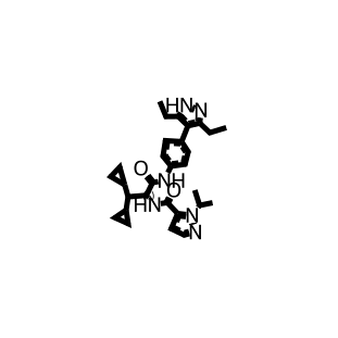 CCc1n[nH]c(CC)c1-c1ccc(NC(=O)[C@@H](NC(=O)c2ccnn2C(C)C)C(C2CC2)C2CC2)cc1